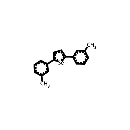 Cc1cccc(-c2ccc(-c3cccc(C)c3)[se]2)c1